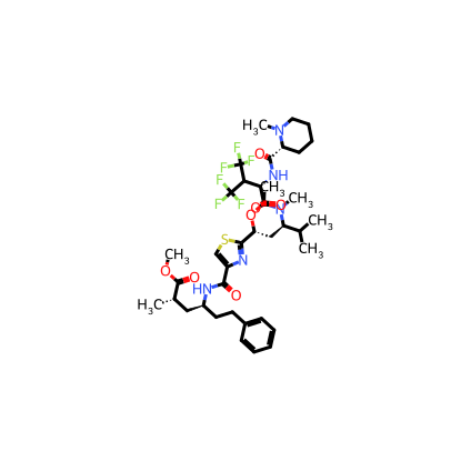 COC(=O)[C@@H](C)C[C@H](CCc1ccccc1)NC(=O)c1csc([C@@H](C[C@H](C(C)C)N(C)C(=O)[C@@H](NC(=O)[C@H]2CCCCN2C)C(C(F)(F)F)C(F)(F)F)OC(C)=O)n1